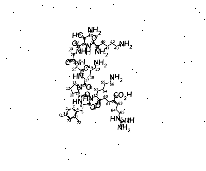 Cc1ccc(C[C@H](NC(=O)[C@@H]2CCCN2C(=O)[C@@H](CCCN)NC(=O)CNC(=O)[C@H](C)NC(=O)[C@@H](NC(=O)[C@@H](N)CCCCN)[C@@H](O)CN)C(=O)N[C@@H](CCCCN)C(=O)CC/C(=C\CCNC(=N)N)C(=O)O)c(C)c1